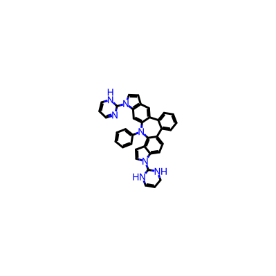 C1=CNC(n2ccc3cc4c(cc32)N(c2ccccc2)c2c(ccc3c2ccn3C2NC=CCN2)-c2ccccc2-4)N=C1